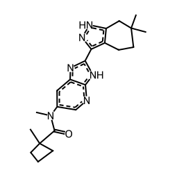 CN(C(=O)C1(C)CCC1)c1cnc2[nH]c(-c3n[nH]c4c3CCC(C)(C)C4)nc2c1